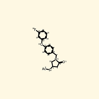 CC(=O)SC1CC(=O)N(Cc2ccc(Oc3cccc(F)c3)cc2)C1